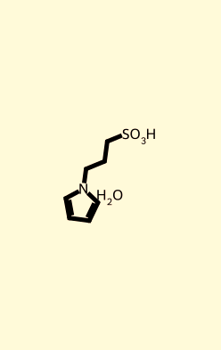 O.O=S(=O)(O)CCCn1cccc1